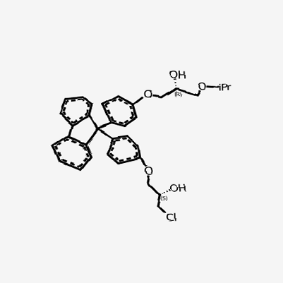 CC(C)OC[C@@H](O)COc1ccc(C2(c3ccc(OC[C@H](O)CCl)cc3)c3ccccc3-c3ccccc32)cc1